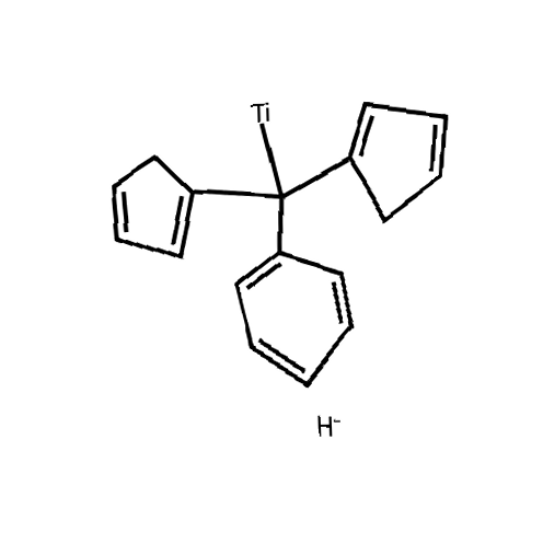 [H-].[Ti][C](C1=CC=CC1)(C1=CC=CC1)c1ccccc1